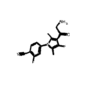 Cc1c(F)c(C(=O)CN)c(C)n1-c1ccc(C#N)c(F)c1